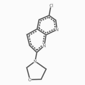 Clc1cnc2nc(N3CCOC3)ccc2c1